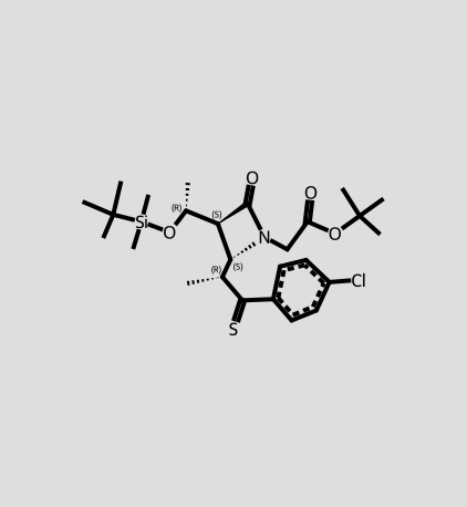 C[C@@H](O[Si](C)(C)C(C)(C)C)[C@H]1C(=O)N(CC(=O)OC(C)(C)C)[C@@H]1[C@@H](C)C(=S)c1ccc(Cl)cc1